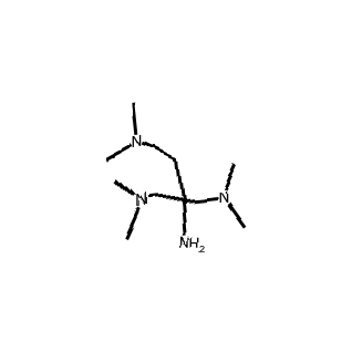 CN(C)CC(N)(N(C)C)N(C)C